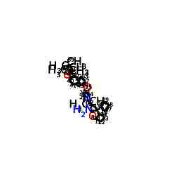 CC(C)(CCC(C(N)=O)(c1ccccc1)c1ccccc1)N1CC[C@H](Oc2ccc3cc(O[Si](C)(C)C(C)(C)C)ccc3c2)C1